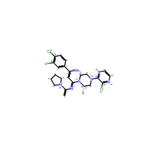 C=C(/N=C(\C=C(/N)c1ccc(Cl)c(F)c1)N1CCN(c2nccnc2Cl)C[C@@H]1C)N1CCCC1